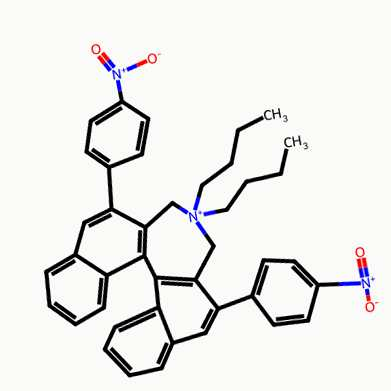 CCCC[N+]1(CCCC)Cc2c(-c3ccc([N+](=O)[O-])cc3)cc3ccccc3c2-c2c(c(-c3ccc([N+](=O)[O-])cc3)cc3ccccc23)C1